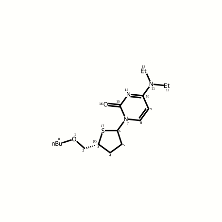 CCCCOC[C@H]1CCC(n2ccc(N(CC)CC)nc2=O)S1